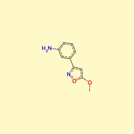 COc1cc(-c2cccc(N)c2)no1